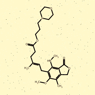 CNc1c(C/C=C(\C)CCC(=O)OCCCN2CCOCC2)c(OC)c(C)c2c1C(=O)OC2